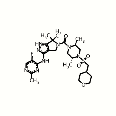 Cc1ncc(F)c(Nc2n[nH]c3c2CN(C(=O)N2C[C@@H](C)N(S(=O)(=O)CC4CCOCC4)C[C@@H]2C)C3(C)C)n1